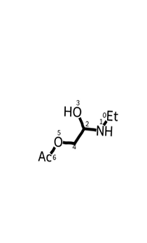 CCNC(O)COC(C)=O